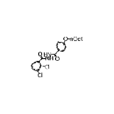 CCCCCCCCOc1ccc(C(=O)NNC(=O)c2cccc(Cl)c2Cl)cc1